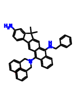 CC1(C)c2cc(N)ccc2-c2cc3c(N(Cc4ccccc4)Cc4ccccc4)c4ccccc4c(NCc4ccccc4)c3cc21